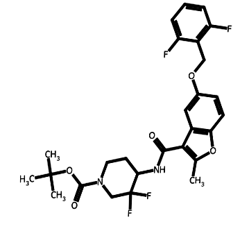 Cc1oc2ccc(OCc3c(F)cccc3F)cc2c1C(=O)NC1CCN(C(=O)OC(C)(C)C)CC1(F)F